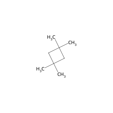 CC1(C)CC(C)(C)C1